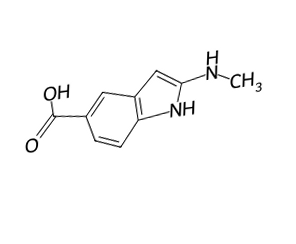 CNc1cc2cc(C(=O)O)ccc2[nH]1